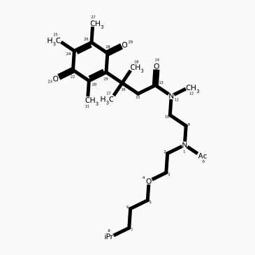 CC(=O)N(CCOCCCC(C)C)CCN(C)C(=O)CC(C)(C)C1=C(C)C(=O)C(C)=C(C)C1=O